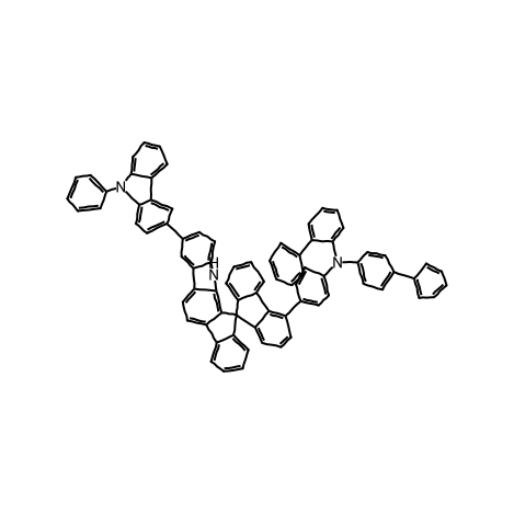 c1ccc(-c2ccc(N(c3ccc(-c4cccc5c4-c4ccccc4C54c5ccccc5-c5ccc6c([nH]c7ccc(-c8ccc9c(c8)c8ccccc8n9-c8ccccc8)cc76)c54)cc3)c3ccccc3-c3ccccc3)cc2)cc1